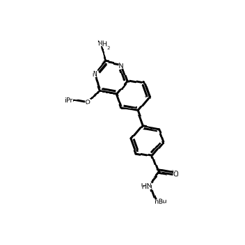 CCCCNC(=O)c1ccc(-c2ccc3nc(N)nc(OC(C)C)c3c2)cc1